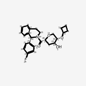 O=C([C@H]1C[C@H](O)[C@@H](OC2CCC2)CO1)N1CCc2ccccc2[C@@H]1c1ccc(F)cc1